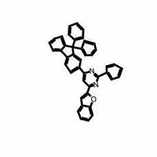 c1ccc(-c2nc(-c3ccc4c(c3)C(c3ccccc3)(c3ccccc3)c3ccccc3-4)cc(-c3cc4ccccc4o3)n2)cc1